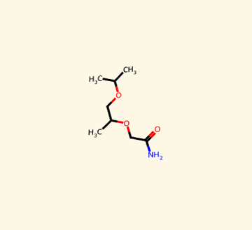 CC(C)OCC(C)OCC(N)=O